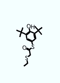 CCSCC(=O)Sc1cc(C(C)(C)C)c(O)c(C(C)(C)C)c1